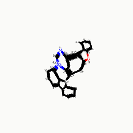 c1ccc2c(c1)B1c3c-2cccc3-n2cnc3c4c(cc1c32)oc1ccccc14